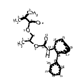 C=C(C)C(=O)OCC(C)OC(=O)Nc1ccccc1-c1ccccc1